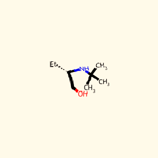 CC[C@@H](CO)NC(C)(C)C